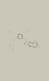 COc1ccc(N2Cc3c(cc4cc(F)cn(C)c3-4)C2=O)cc1OCCN1CCCCC1.Cl